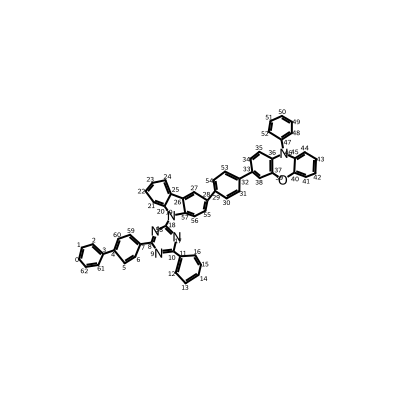 c1ccc(-c2ccc(-c3nc(-c4ccccc4)nc(-n4c5ccccc5c5cc(-c6ccc(-c7ccc8c(c7)Oc7ccccc7N8c7ccccc7)cc6)ccc54)n3)cc2)cc1